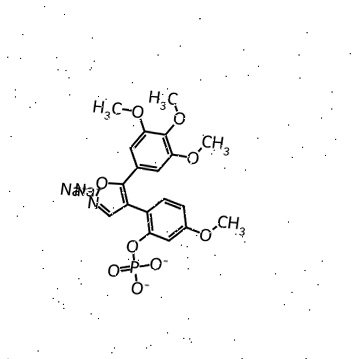 COc1ccc(-c2cnoc2-c2cc(OC)c(OC)c(OC)c2)c(OP(=O)([O-])[O-])c1.[Na+].[Na+]